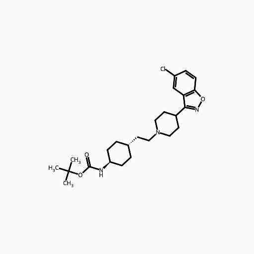 CC(C)(C)OC(=O)N[C@H]1CC[C@H](CCN2CCC(c3noc4ccc(Cl)cc34)CC2)CC1